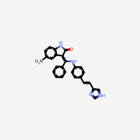 O=C1Nc2ccc([N+](=O)[O-])cc2/C1=C(/Nc1ccc(/C=C/c2c[nH]cn2)cc1)c1ccccc1